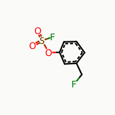 O=S(=O)(F)Oc1cccc(CF)c1